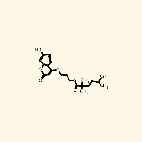 Cc1ccc2c(OCCCSC(=O)C(C)(C)CCC(C)C)cc(=O)sc2c1